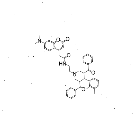 Cc1cccc(C2C(C(=O)c3ccccc3)CN(CCNC(=O)Cc3cc(=O)oc4cc(N(C)C)ccc34)CC2C(=O)c2ccccc2)c1C